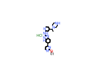 CCOc1nccc(-c2ccc3nc(Nc4cc(C(C)N5CCNCC5)ccn4)[nH]c3c2)n1.Cl